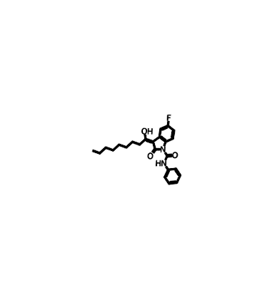 CCCCCCCCC(O)=C1C(=O)N(C(=O)Nc2ccccc2)c2ccc(F)cc21